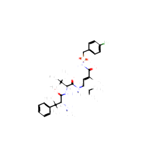 CN[C@H](C(=O)N[C@H](C(=O)N(C)[C@H](C=C(C)C(=O)NS(=O)(=O)Cc1ccc(Br)cc1)C(C)C)C(C)(C)C)C(C)(C)c1ccccc1